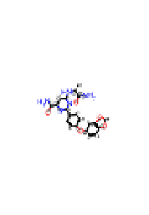 C[C@H](NC1=NC(c2ccc(Oc3ccc4c(c3)OCO4)cc2)=NC(C(N)=O)C1)C(N)=O